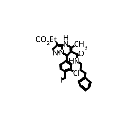 CCOC(=O)c1cnn2c1NC(C)=C(C(=O)NCCCc1ccccc1)C2c1ccc(CI)c(Cl)c1